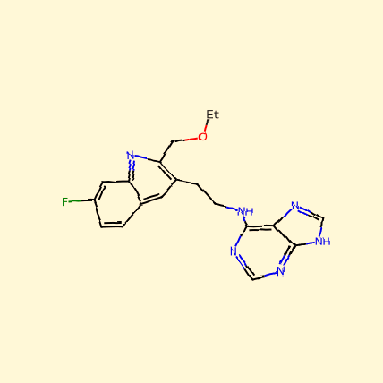 CCOCc1nc2cc(F)ccc2cc1CCNc1ncnc2[nH]cnc12